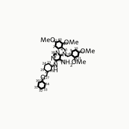 COc1ccc(CN(Cc2ccc(OC)cc2OC)c2ncnc(NC3CCCC(COc4ccccc4)C3)c2N)c(OC)c1